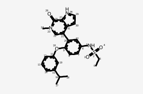 CCS(=O)(=O)Nc1ccc(Oc2cccc(C(C)C)c2)c(-c2cn(C)c(=O)c3[nH]ccc23)c1